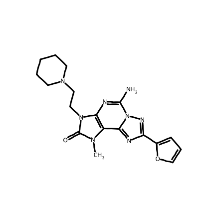 Cn1c(=O)n(CCN2CCCCC2)c2nc(N)n3nc(-c4ccco4)nc3c21